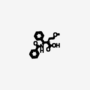 COCC[C@@H](C(=O)O)C(NC(=O)c1ccccc1)c1ccccc1